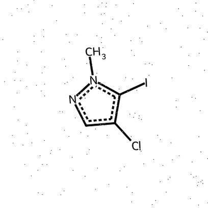 Cn1ncc(Cl)c1I